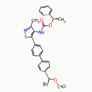 Cc1nsc(-c2ccc(-c3ccc(C(OC=O)C(C)C)cc3)cc2)c1NC(=O)O[C@H](C)c1ccccc1